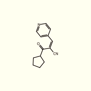 N#CC(=Cc1ccncc1)C(=O)C1CCCC1